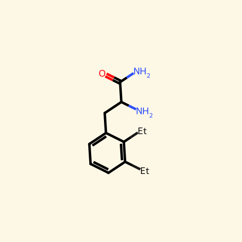 CCc1cccc(CC(N)C(N)=O)c1CC